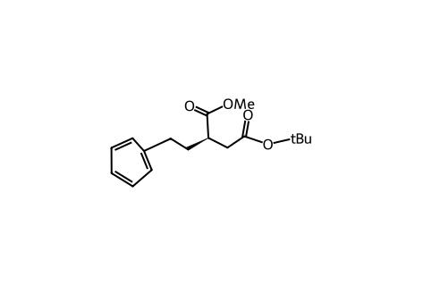 COC(=O)[C@H](CCc1ccccc1)CC(=O)OC(C)(C)C